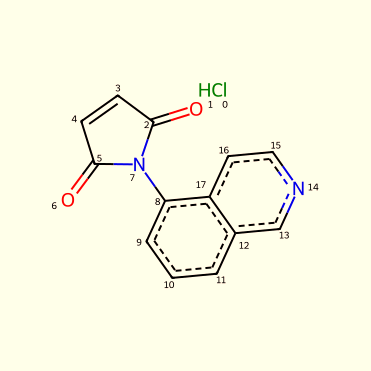 Cl.O=C1C=CC(=O)N1c1cccc2cnccc12